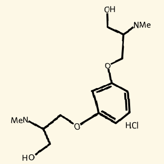 CNC(CO)COc1cccc(OCC(CO)NC)c1.Cl